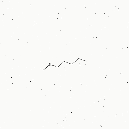 [CH2]SCCCCC